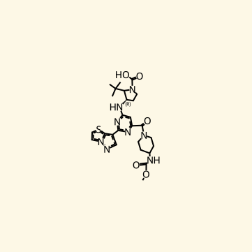 COC(=O)NC1CCN(C(=O)c2cc(N[C@@H]3CCN(C(=O)O)C3C(C)(C)C)nc(-c3cnn4ccsc34)n2)CC1